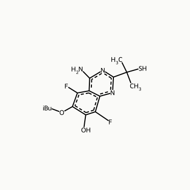 CCC(C)Oc1c(O)c(F)c2nc(C(C)(C)S)nc(N)c2c1F